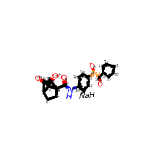 CC1(C)C2CCC1(C(=O)Nc1ccc([PH](=O)C(=O)c3ccccc3)cc1)C(=O)C2=O.[NaH]